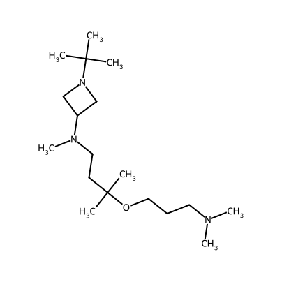 CN(C)CCCOC(C)(C)CCN(C)C1CN(C(C)(C)C)C1